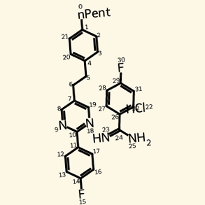 CCCCCc1ccc(CCc2cnc(-c3ccc(F)cc3)nc2)cc1.Cl.N=C(N)c1ccc(F)cc1